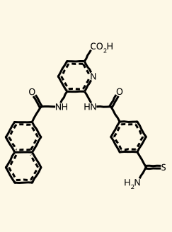 NC(=S)c1ccc(C(=O)Nc2nc(C(=O)O)ccc2NC(=O)c2ccc3ccccc3c2)cc1